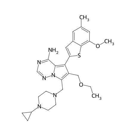 CCOCc1c(-c2cc3cc(C)cc(OC)c3s2)c2c(N)ncnn2c1CN1CCN(C2CC2)CC1